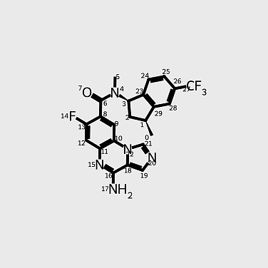 C[C@H]1C[C@@H](N(C)C(=O)c2cc3c(cc2F)nc(N)c2cncn23)c2ccc(C(F)(F)F)cc21